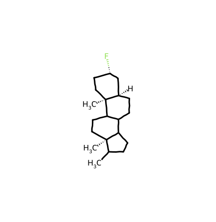 CC1CCC2C3CC[C@@H]4C[C@@H](F)CC[C@]4(C)C3CC[C@]12C